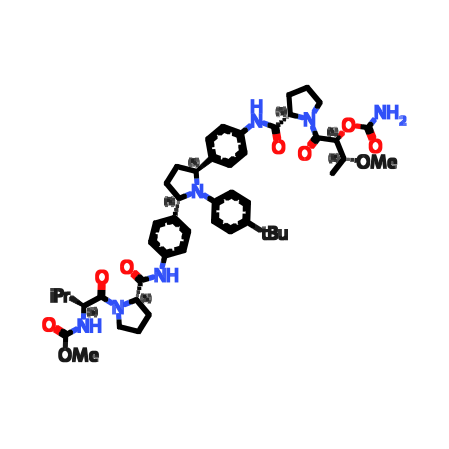 COC(=O)N[C@H](C(=O)N1CCC[C@H]1C(=O)Nc1ccc([C@@H]2CC[C@@H](c3ccc(NC(=O)[C@@H]4CCCN4C(=O)[C@@H](OC(N)=O)[C@@H](C)OC)cc3)N2c2ccc(C(C)(C)C)cc2)cc1)C(C)C